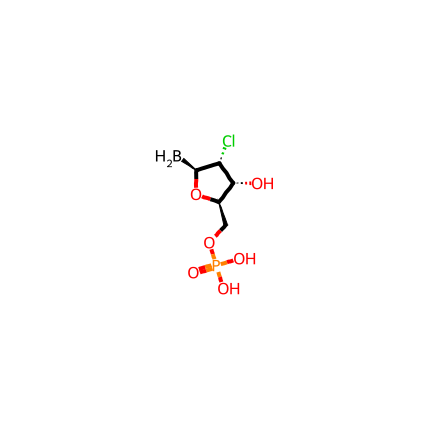 B[C@@H]1O[C@H](COP(=O)(O)O)[C@@H](O)[C@H]1Cl